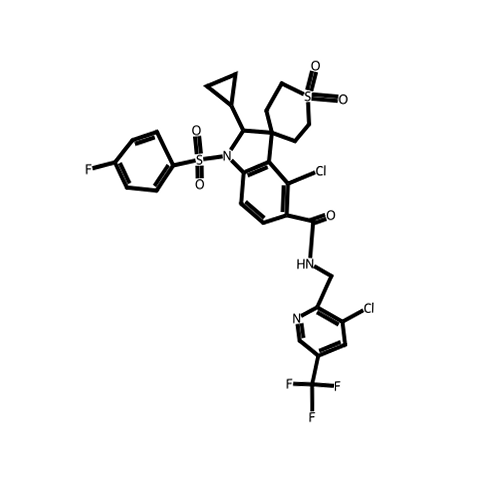 O=C(NCc1ncc(C(F)(F)F)cc1Cl)c1ccc2c(c1Cl)C1(CCS(=O)(=O)CC1)C(C1CC1)N2S(=O)(=O)c1ccc(F)cc1